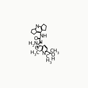 Cc1nc(C(C)(C)O)ccc1[S@@](N)(=O)=NC(=O)Nc1c2c(nc3c1CCC3)CCC2